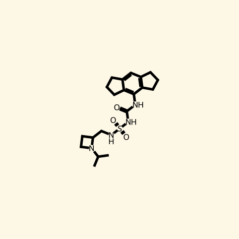 CC(C)N1CCC1CNS(=O)(=O)NC(=O)Nc1c2c(cc3c1CCC3)CCC2